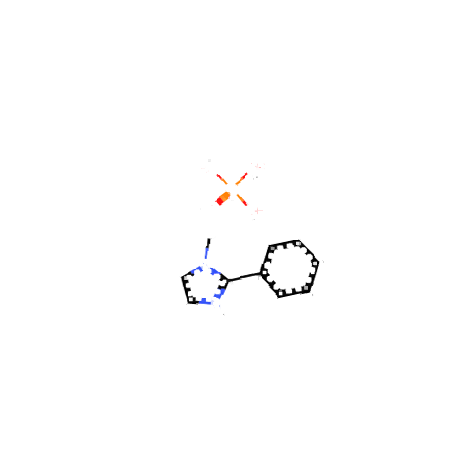 Cn1ccnc1-c1ccccc1.O=P(O)(O)O